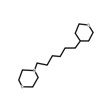 C(CCCN1CCOCC1)CCC1CCOCC1